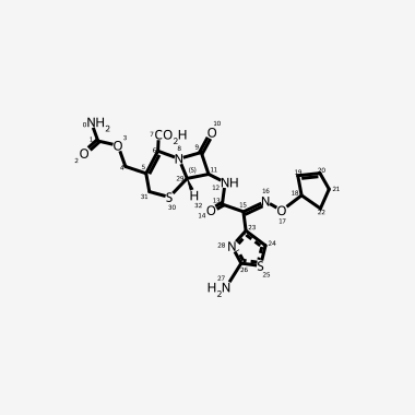 NC(=O)OCC1=C(C(=O)O)N2C(=O)C(NC(=O)C(=NOC3C=CCC3)c3csc(N)n3)[C@@H]2SC1